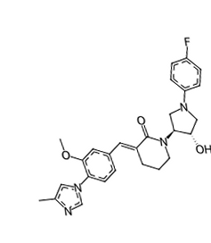 COc1cc(/C=C2\CCCN([C@H]3CN(c4ccc(F)cc4)C[C@@H]3O)C2=O)ccc1-n1cnc(C)c1